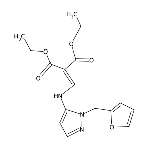 CCOC(=O)C(=CNc1ccnn1Cc1ccco1)C(=O)OCC